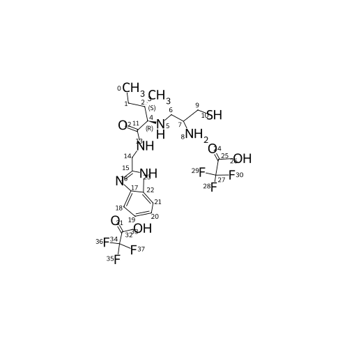 CC[C@H](C)[C@@H](NCC(N)CS)C(=O)NCc1nc2ccccc2[nH]1.O=C(O)C(F)(F)F.O=C(O)C(F)(F)F